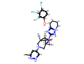 Cc1cc(N2C[C@@H]3CC(C)[C@H](C2)[C@H]3Nc2nc3n(n2)CCC[C@H]3Oc2ccc(F)c(F)c2F)cnn1